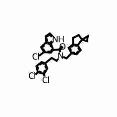 O=C(c1cc(Cl)cc2cc[nH]c12)N(CCc1ccc(Cl)c(Cl)c1)Cc1ccc2c(c1)CCC21CC1